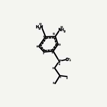 CC(C)C[S+]([O-])c1ccc(N)c(N)c1